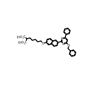 CCOC(=O)C(CCCCCOc1ccc2cc(-c3nc(OCc4ccccc4)cc(-c4ccccc4)n3)ccc2c1)C(=O)OCC